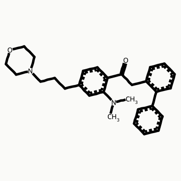 CN(C)c1cc(CCCN2CCOCC2)ccc1C(=O)Cc1ccccc1-c1ccccc1